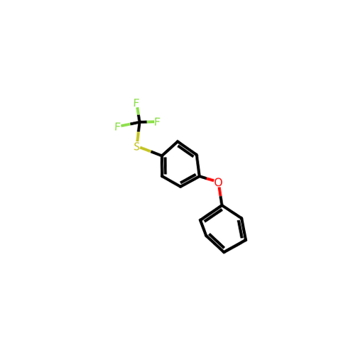 FC(F)(F)Sc1ccc(Oc2ccccc2)cc1